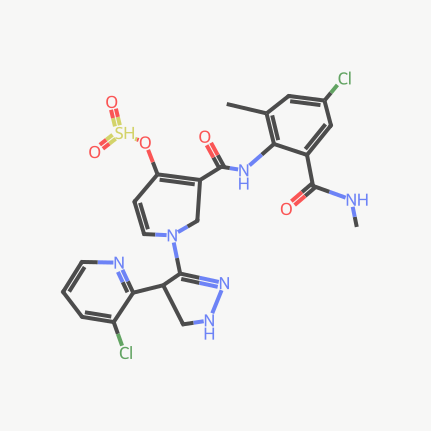 CNC(=O)c1cc(Cl)cc(C)c1NC(=O)C1=C(O[SH](=O)=O)C=CN(C2=NNCC2c2ncccc2Cl)C1